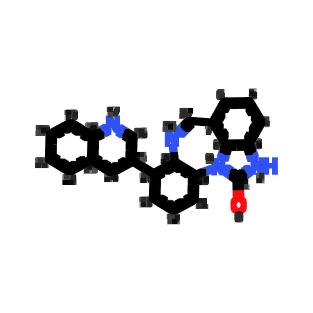 O=c1[nH]c2cccc3c2n1-c1cccc(-c2cnc4ccccc4c2)c1N=C3